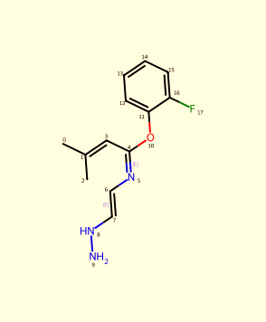 CC(C)=C/C(=N\C=C\NN)Oc1ccccc1F